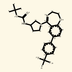 CC(C)(C)OC(=O)NC1CCN(C2=NCCOc3ccc(-c4ccc(C(F)(F)F)cc4)cc32)C1